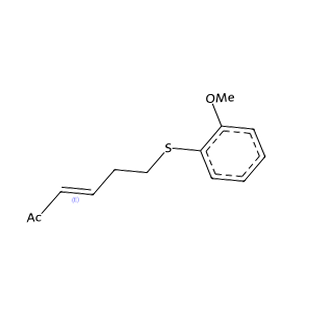 COc1ccccc1SCC/C=C/C(C)=O